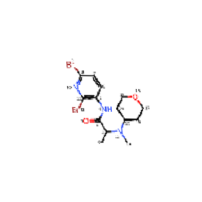 CC(C(=O)Nc1ccc(Br)nc1Br)N(C)C1CCOCC1